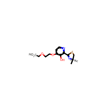 CC(=O)[C@@]1(C)CSC(c2nccc(OCCOCC(=O)O)c2O)=N1